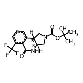 CC(C)(C)OC(=O)N1C[C@@H]2NC(=O)c3c(cccc3C(F)(F)F)[C@@H]2C1